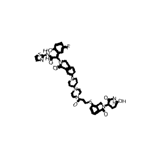 O=C1NC(O)CCC1N1Cc2c(SCCC(=O)N3CCN(C4CCN(c5ccc6c(c5)C(=O)N(C(C(=O)Nc5nccs5)c5cc(F)ccc5O)C6)CC4)CC3)cccc2C1=O